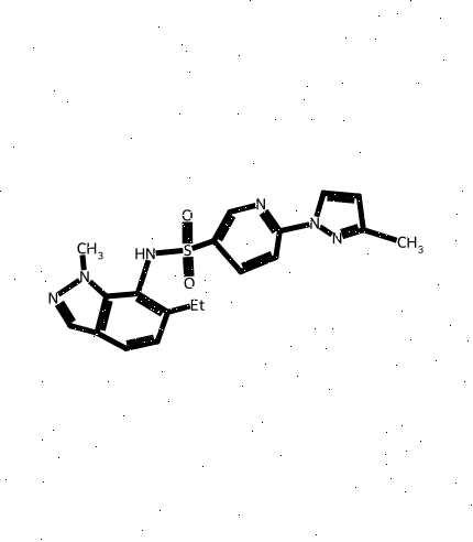 CCc1ccc2cnn(C)c2c1NS(=O)(=O)c1ccc(-n2ccc(C)n2)nc1